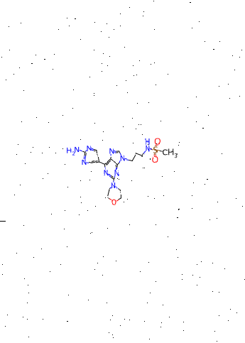 CS(=O)(=O)NCCCn1cnc2c(-c3cnc(N)nc3)nc(N3CCOCC3)nc21